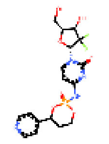 O=c1nc(NP2(=O)OCCC(c3ccncc3)O2)ccn1[C@@H]1O[C@@H](CO)[C@@H](O)C1(F)F